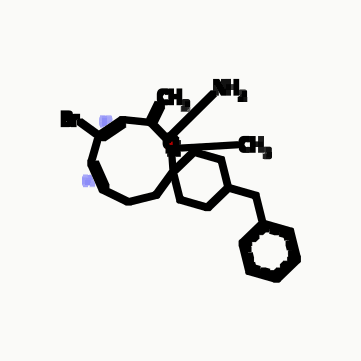 C=C1/C=C(Br)\C=C/CCC2(CCC(Cc3ccccc3)CC2)C12N=C(N)N(C)O2